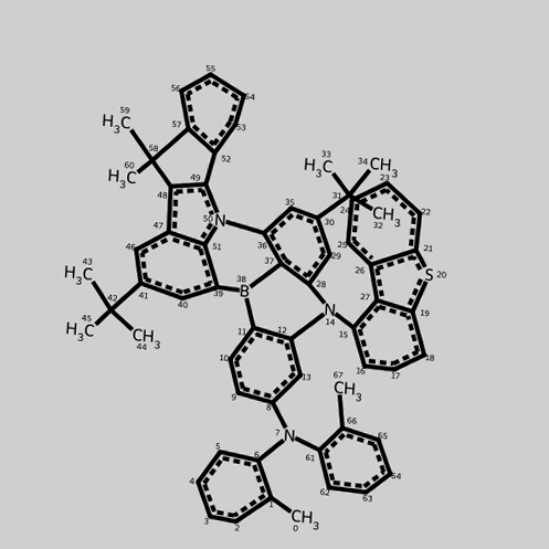 Cc1ccccc1N(c1ccc2c(c1)N(c1cccc3sc4ccccc4c13)c1cc(C(C)(C)C)cc3c1B2c1cc(C(C)(C)C)cc2c4c(n-3c12)-c1ccccc1C4(C)C)c1ccccc1C